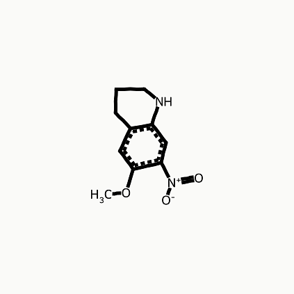 COc1cc2c(cc1[N+](=O)[O-])NCCC2